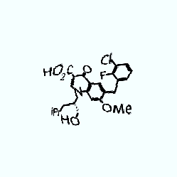 COc1cc2c(cc1Cc1cccc(Cl)c1F)c(=O)c(C(=O)O)cn2[C@H](CO)CC(C)C